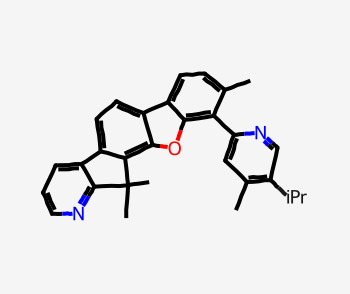 Cc1cc(-c2c(C)ccc3c2oc2c4c(ccc23)-c2cccnc2C4(C)C)ncc1C(C)C